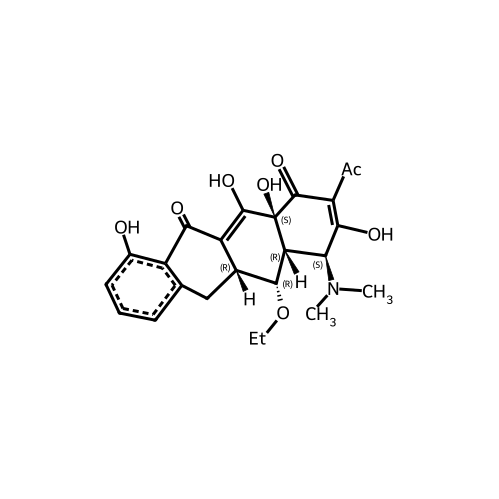 CCO[C@H]1[C@H]2[C@H](N(C)C)C(O)=C(C(C)=O)C(=O)[C@@]2(O)C(O)=C2C(=O)c3c(O)cccc3C[C@H]21